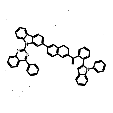 C=C(C1=Cc2ccc(-c3ccc4c5ccccc5n(-c5nc(-c6ccccc6)c6ccccc6n5)c4c3)cc2CC1)c1ccccc1-c1cc2ccccc2n1-c1ccccc1